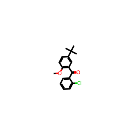 COc1ccc(C(C)(C)C)cc1C(=O)c1ccccc1Cl